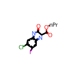 CCCOC(=O)C1N=c2cc(I)c(Cl)cc2=NC1=O